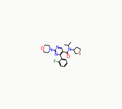 CC(C)N(C(=O)c1cnc(N2CCOCC2)nc1-c1ccccc1F)C1CCSC1